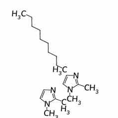 CCCCCCCCCC.Cc1nccn1C.Cc1nccn1C